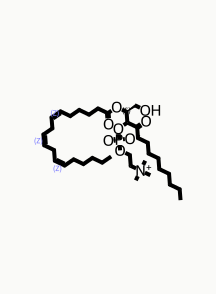 CCCCC/C=C\C/C=C\C/C=C\CCCCC(=O)O[C@@H](CO)C(OP(=O)([O-])OCC[N+](C)(C)C)C(=O)CCCCCCCCC